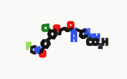 O=C(O)Nc1ccc(CNC(=O)C=CC2Cc3cc(-c4ccc(C(=O)N5CC[C@H](F)C5)cc4)cc(Cl)c3O2)cn1